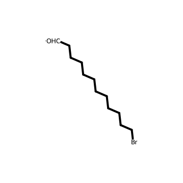 O=[C]CCCCCCCCCCCBr